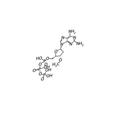 CO[C@H]1C[C@H](n2cnc3c(N)nc(N)nc32)O[C@@H]1COP(=O)(O)OP(=O)(O)OP(=O)(O)O